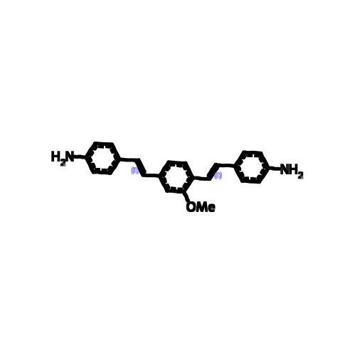 COc1cc(/C=C/c2ccc(N)cc2)ccc1/C=C/c1ccc(N)cc1